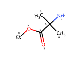 CCOC(=O)C(C)(C)[NH]